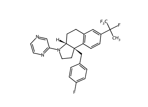 CC(F)(c1ccc2c(c1)CC[C@H]1N(c3cnccn3)CC[C@@]21Cc1ccc(F)cc1)C(F)(F)F